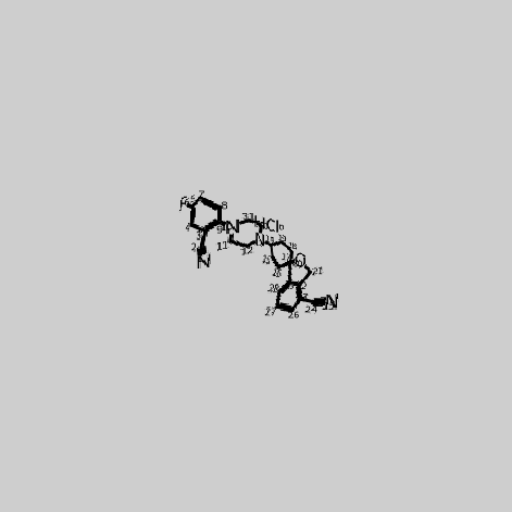 Cl.N#Cc1cc(F)ccc1N1CCN(C2CCC3(CC2)OCc2c(C#N)cccc23)CC1